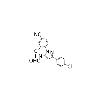 N#Cc1ccc(-n2nc(-c3ccc(Cl)cc3)cc2NC=O)c(Cl)c1